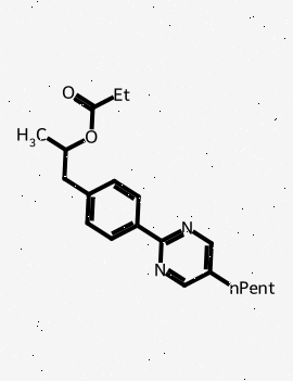 CCCCCc1cnc(-c2ccc(CC(C)OC(=O)CC)cc2)nc1